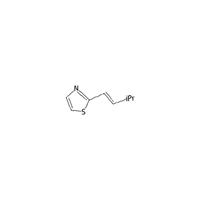 CC(C)/C=C/c1nccs1